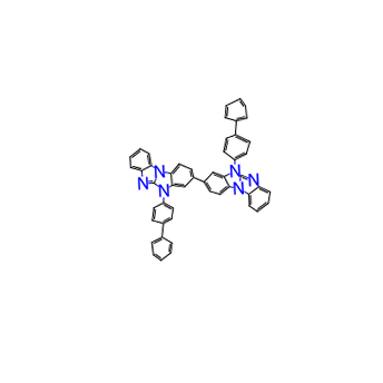 c1ccc(-c2ccc(-n3c4cc(-c5ccc6c(c5)n(-c5ccc(-c7ccccc7)cc5)c5nc7ccccc7n65)ccc4n4c5ccccc5nc34)cc2)cc1